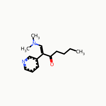 CCCCC(=O)/C(=C/N(C)C)c1cccnc1